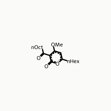 CCCCCCCCC(=O)c1c(OC)cc(CCCCCC)oc1=O